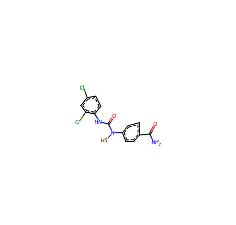 NC(=O)c1ccc(N(S)C(=O)Nc2ccc(Cl)cc2Cl)cc1